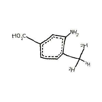 [2H]C([2H])([2H])c1ccc(C(=O)O)cc1N